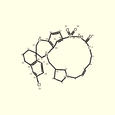 O=C1CCC/C=C/CN2CCC(C2)CN2CC3(CCCc4cc(Cl)ccc43)COc3ccc(cc32)S(=O)(=O)N1